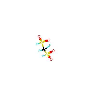 O=S(=O)(F)C(F)(F)S(=O)(=O)F